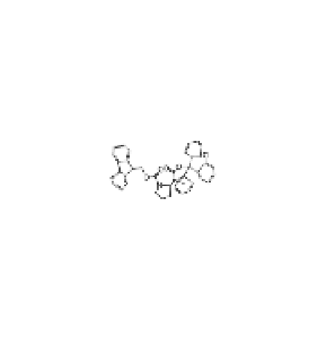 CC(C(=O)OC(c1ccccc1)(c1ccccc1)c1ccccc1Cl)[C@H]1CCCN1C(=O)OCC1c2ccccc2-c2ccccc21